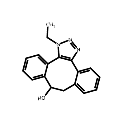 CCn1nnc2c1-c1ccccc1C(O)Cc1ccccc1-2